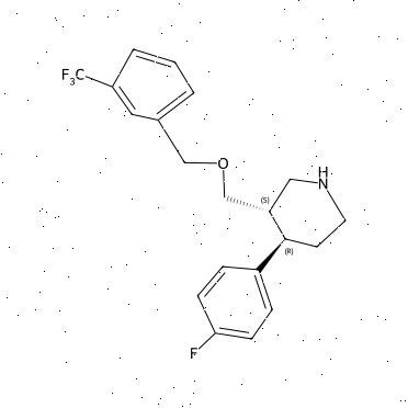 Fc1ccc([C@@H]2CCNC[C@H]2COCc2cccc(C(F)(F)F)c2)cc1